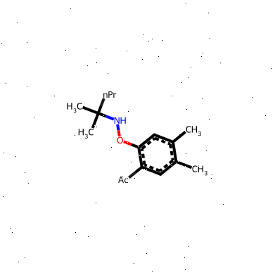 CCCC(C)(C)NOc1cc(C)c(C)cc1C(C)=O